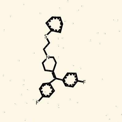 Fc1ccc(C(=C2CCN(CCSc3ccccc3)CC2)c2ccc(F)cc2)cc1